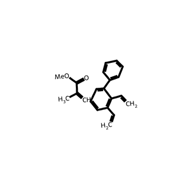 C=C(C)C(=O)OC.C=Cc1cccc(-c2ccccc2)c1C=C